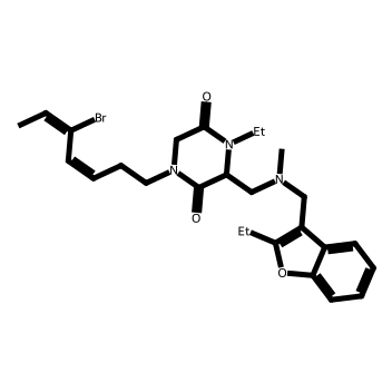 C/C=C(Br)\C=C/CCN1CC(=O)N(CC)C(CN(C)Cc2c(CC)oc3ccccc23)C1=O